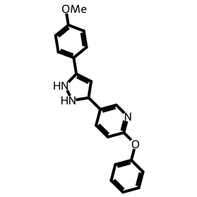 COc1ccc(C2=CC(c3ccc(Oc4ccccc4)nc3)NN2)cc1